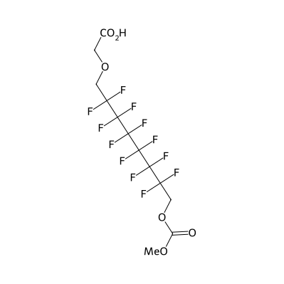 COC(=O)OCC(F)(F)C(F)(F)C(F)(F)C(F)(F)C(F)(F)C(F)(F)COCC(=O)O